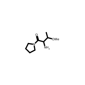 COC(C)C(N)C(=O)N1CCCC1